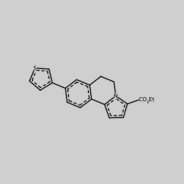 CCOC(=O)c1ccc2n1CCc1cc(-c3ccsc3)ccc1-2